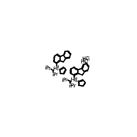 CC(C)[C](C(C)C)=[Hf]([C]1=CC=CC1)[c]1cccc2c1Cc1ccccc1-2.CC(C)[C](C(C)C)=[Hf]([C]1=CC=CC1)[c]1cccc2c1Cc1ccccc1-2.Cl.Cl